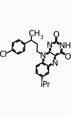 CC(C)c1ccc2c(c1)nc1c(=O)[nH]c(=O)nc-1n2CCC(C)c1ccc(Cl)cc1